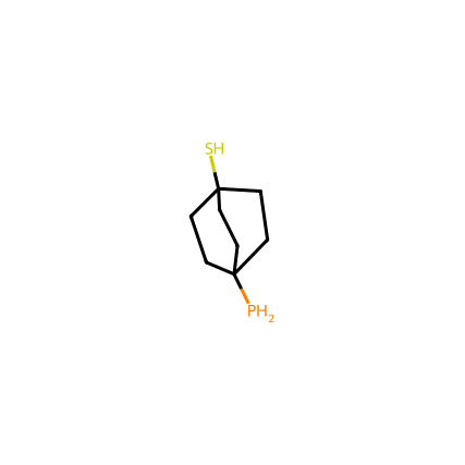 PC12CCC(S)(CC1)CC2